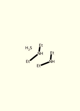 CCNCC.CCNCC.S